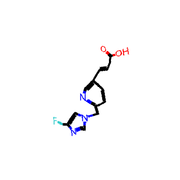 O=C(O)/C=C/c1ccc(Cn2cnc(F)c2)nc1